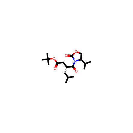 CC(C)C[C@H](CC(=O)OC(C)(C)C)C(=O)N1C(=O)OCC1C(C)C